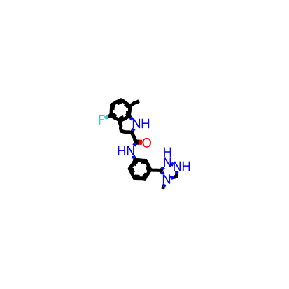 Cc1ccc(F)c2c1NC(C(=O)Nc1cccc(C3NNCN3C)c1)C2